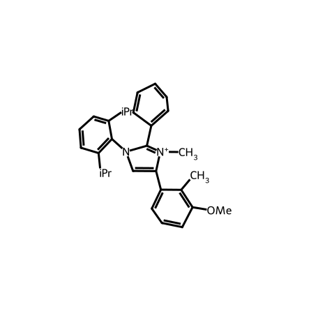 COc1cccc(-c2cn(-c3c(C(C)C)cccc3C(C)C)c(-c3ccccc3)[n+]2C)c1C